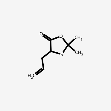 C=CCC1SC(C)(C)OC1=O